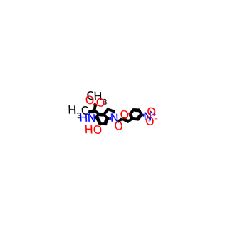 COC(=O)c1c(C)[nH]c2c(O)cc3c(c12)CCN3C(=O)c1cc2cc([N+](=O)[O-])ccc2o1